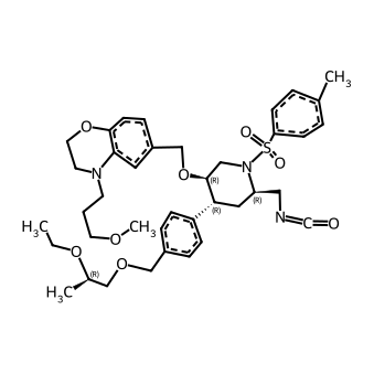 CCO[C@H](C)COCc1ccc([C@H]2C[C@H](CN=C=O)N(S(=O)(=O)c3ccc(C)cc3)C[C@@H]2OCc2ccc3c(c2)N(CCCOC)CCO3)cc1